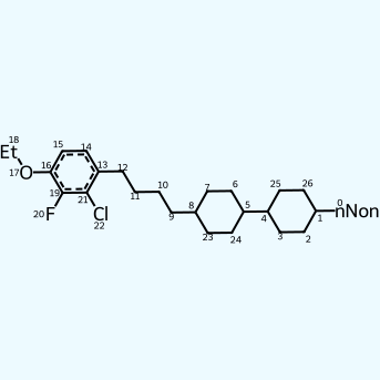 CCCCCCCCCC1CCC(C2CCC(CCCCc3ccc(OCC)c(F)c3Cl)CC2)CC1